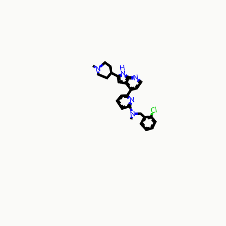 CN1CCC(c2cc3c(-c4cccc(N(C)Cc5ccccc5Cl)n4)ccnc3[nH]2)CC1